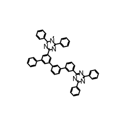 CN1C(c2ccccc2)=NC(c2cc(-c3ccccc3)cc(-c3cccc(-c4cccc(-c5nc(-c6ccccc6)nc(-c6ccccc6)n5)c4)c3)c2)=NC1c1ccccc1